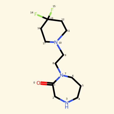 O=C1CNCCCN1CCN1CCC(F)(F)CC1